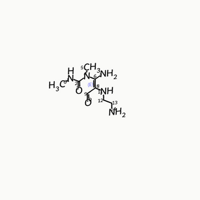 CNC(=O)N(C)/C(N)=C(\C=O)NCCN